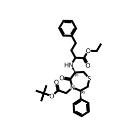 CCOC(=O)C(CCc1ccccc1)N[C@H]1CSC[C@@H](c2ccccc2)N(CC(=O)OC(C)(C)C)C1=O